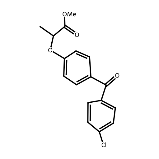 COC(=O)C(C)Oc1ccc(C(=O)c2ccc(Cl)cc2)cc1